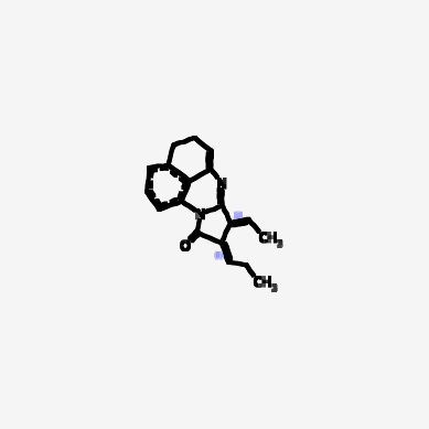 C/C=C1/C2=NC3=CCCc4cccc(c43)N2C(=O)/C1=C/CC